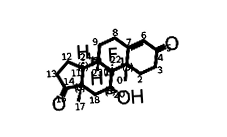 C[C@]12CCC(=O)C=C1CC[C@H]1[C@@H]3CCC(=O)[C@@]3(C)C[C@H](O)[C@@]12F